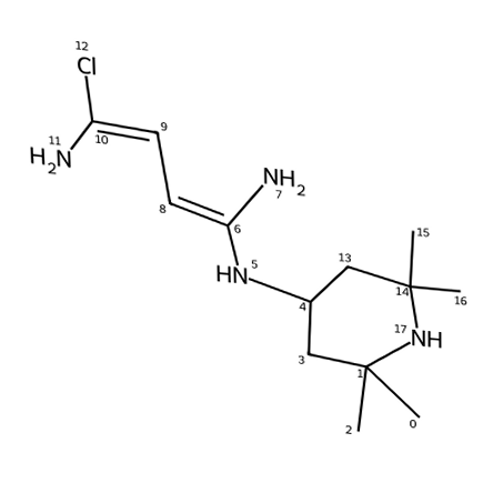 CC1(C)CC(N/C(N)=C/C=C(\N)Cl)CC(C)(C)N1